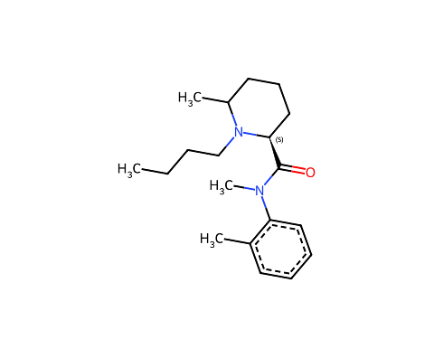 CCCCN1C(C)CCC[C@H]1C(=O)N(C)c1ccccc1C